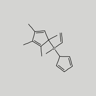 C=[CH][Zr]([CH3])([CH]1C=CC=C1)[C]1(C)C=C(C)C(C)=C1C